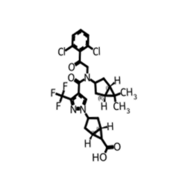 CC1(C)[C@@H]2CC(N(CC(=O)c3c(Cl)cccc3Cl)C(=O)c3cn(C4C[C@@H]5C(C(=O)O)[C@@H]5C4)nc3C(F)(F)F)C[C@@H]21